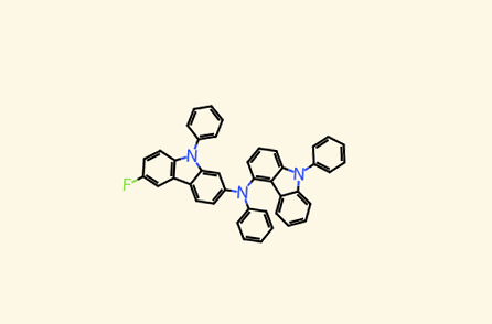 Fc1ccc2c(c1)c1ccc(N(c3ccccc3)c3cccc4c3c3ccccc3n4-c3ccccc3)cc1n2-c1ccccc1